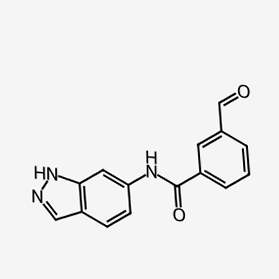 O=Cc1cccc(C(=O)Nc2ccc3cn[nH]c3c2)c1